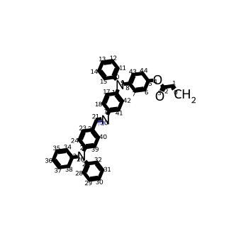 C=CC(=O)OC1C=CC(N(c2ccccc2)c2ccc(/N=C/c3ccc(N(c4ccccc4)C4C=CC=CC4)cc3)cc2)=CC1